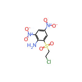 Nc1c([N+](=O)[O-])cc([N+](=O)[O-])cc1S(=O)(=O)CCCl